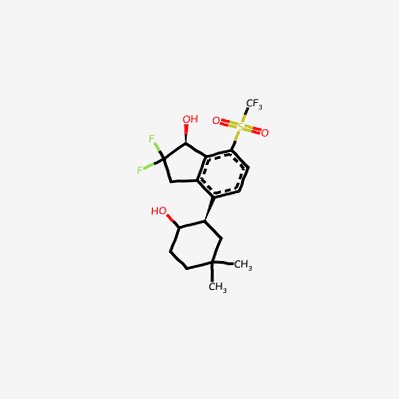 CC1(C)CCC(O)[C@@H](c2ccc(S(=O)(=O)C(F)(F)F)c3c2CC(F)(F)[C@H]3O)C1